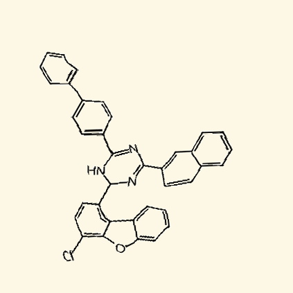 Clc1ccc(C2N=C(c3ccc4ccccc4c3)N=C(c3ccc(-c4ccccc4)cc3)N2)c2c1oc1ccccc12